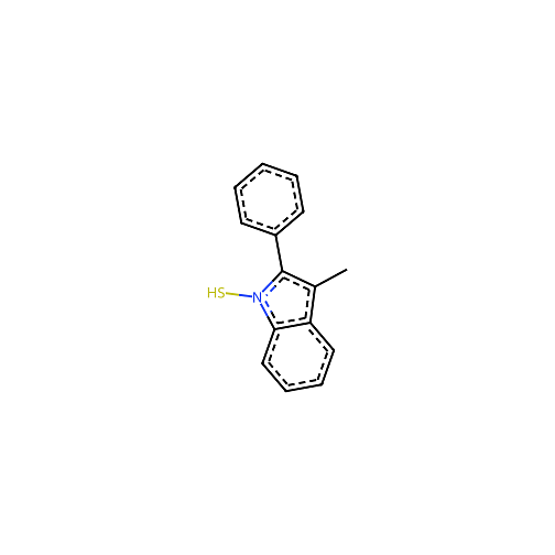 Cc1c(-c2ccccc2)n(S)c2ccccc12